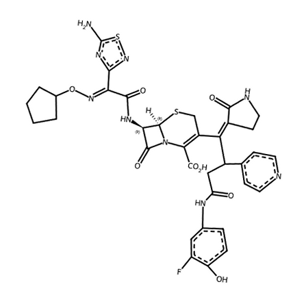 Nc1nc(C(=NOC2CCCC2)C(=O)N[C@@H]2C(=O)N3C(C(=O)O)=C(C(=C4CCNC4=O)C(CC(=O)Nc4ccc(O)c(F)c4)c4ccncc4)CS[C@H]23)ns1